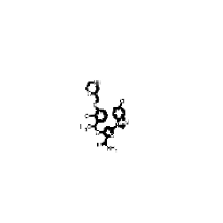 CC(Oc1cc(-n2cnc3cc(Cl)ccc32)sc1C(N)=O)c1cccc(OCC2CNCCO2)c1Cl